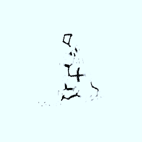 COc1cc(OC)nc(OC(C(=O)NS(=O)(=O)C2CCC2)C(C)(C)OCCF)n1